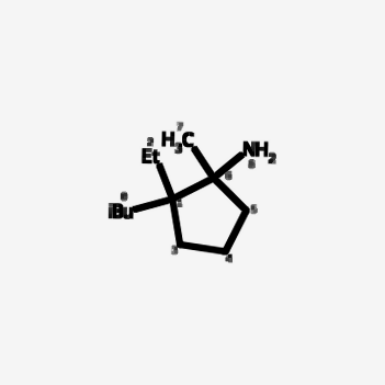 CCC(C)C1(CC)CCCC1(C)N